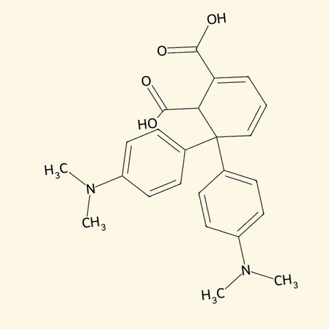 CN(C)c1ccc(C2(c3ccc(N(C)C)cc3)C=CC=C(C(=O)O)C2C(=O)O)cc1